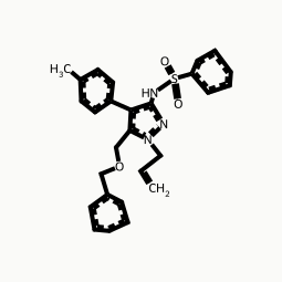 C=CCn1nc(NS(=O)(=O)c2ccccc2)c(-c2ccc(C)cc2)c1COCc1ccccc1